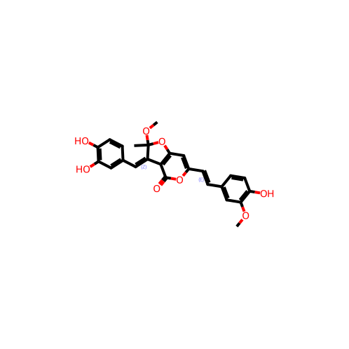 COc1cc(/C=C/c2cc3c(c(=O)o2)/C(=C/c2ccc(O)c(O)c2)C(C)(OC)O3)ccc1O